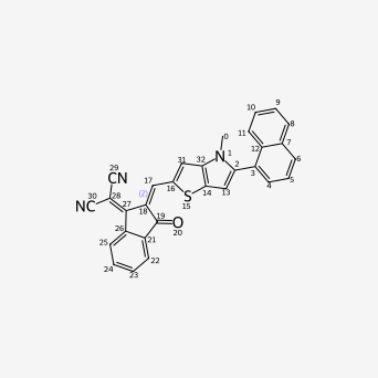 Cn1c(-c2cccc3ccccc23)cc2sc(/C=C3\C(=O)c4ccccc4C3=C(C#N)C#N)cc21